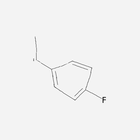 C[C]c1ccc(F)cc1